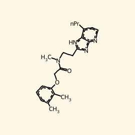 CCCc1ccnc2nc(CCN(C)C(=O)COc3cccc(C)c3C)[nH]c12